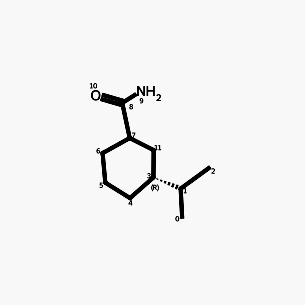 CC(C)[C@@H]1CCCC(C(N)=O)C1